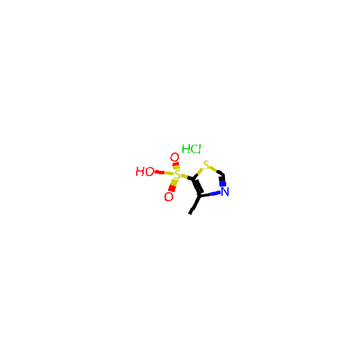 Cc1ncsc1S(=O)(=O)O.Cl